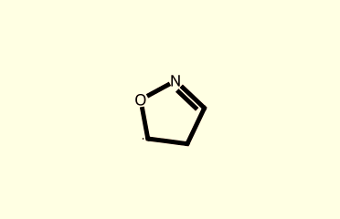 [CH]1CC=NO1